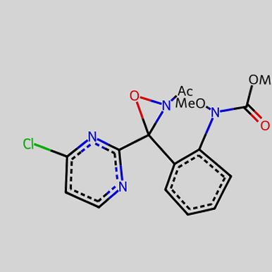 COC(=O)N(OC)c1ccccc1C1(c2nccc(Cl)n2)ON1C(C)=O